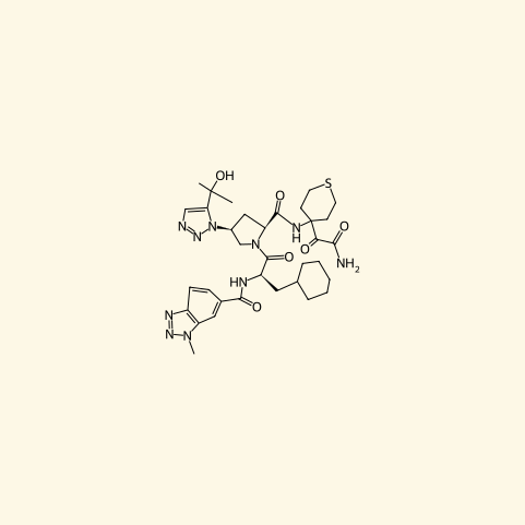 Cn1nnc2ccc(C(=O)N[C@H](CC3CCCCC3)C(=O)N3C[C@@H](n4nncc4C(C)(C)O)C[C@H]3C(=O)NC3(C(=O)C(N)=O)CCSCC3)cc21